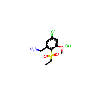 CCS(=O)(=O)c1c(CN)cc(Cl)cc1OC.Cl